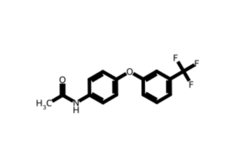 CC(=O)Nc1ccc(Oc2cccc(C(F)(F)F)c2)cc1